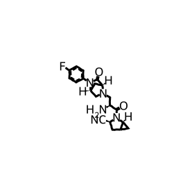 N#C[C@@H]1CC2C[C@@H]2N1C(=O)[C@@H](N)CN1C[C@@H]2C[C@H]1C(=O)N2c1ccc(F)cc1